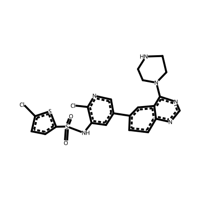 O=S(=O)(Nc1cc(-c2ccc3ncnc(N4CCNCC4)c3c2)cnc1Cl)c1ccc(Cl)s1